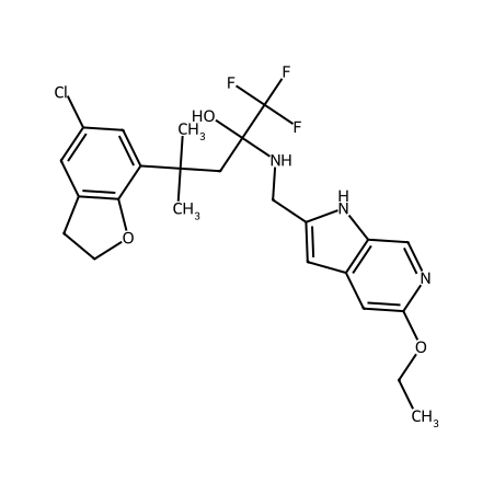 CCOc1cc2cc(CNC(O)(CC(C)(C)c3cc(Cl)cc4c3OCC4)C(F)(F)F)[nH]c2cn1